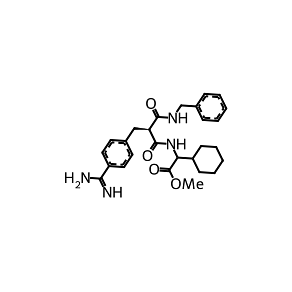 COC(=O)C(NC(=O)[C@@H](Cc1ccc(C(=N)N)cc1)C(=O)NCc1ccccc1)C1CCCCC1